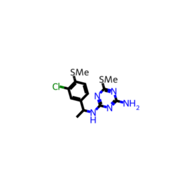 CSc1nc(N)nc(NC(C)c2ccc(SC)c(Cl)c2)n1